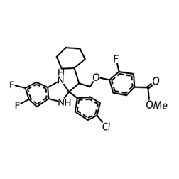 COC(=O)c1ccc(OCC(C2CCCCC2)C2(c3ccc(Cl)cc3)Nc3cc(F)c(F)cc3N2)c(F)c1